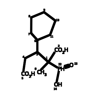 CC(C(=O)O)(C(CC(=O)O)C1CCCCC1)[PH](=O)O